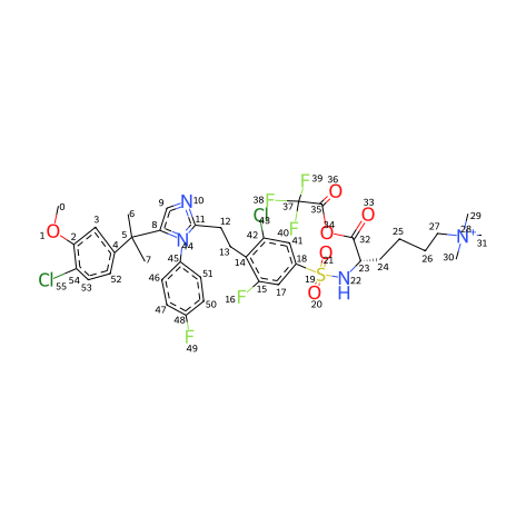 COc1cc(C(C)(C)c2cnc(CCc3c(F)cc(S(=O)(=O)N[C@@H](CCCC[N+](C)(C)C)C(=O)OC(=O)C(F)(F)F)cc3Cl)n2-c2ccc(F)cc2)ccc1Cl